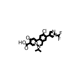 CC(C)N1Cc2cc(-c3cnn(C(F)F)c3)c(Cl)cc2-c2cc(=O)c(C(=O)O)cn21